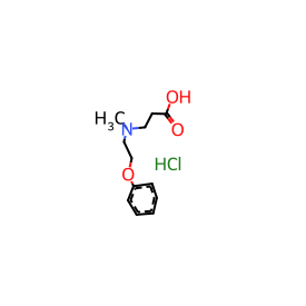 CN(CCOc1ccccc1)CCC(=O)O.Cl